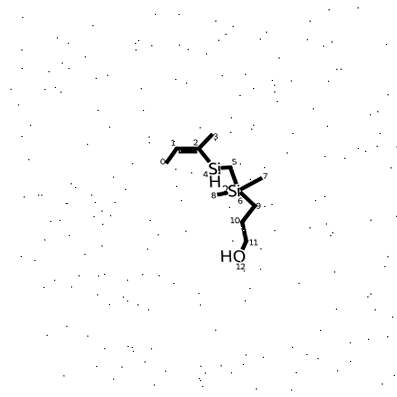 CC=C(C)[SiH2]C[Si](C)(C)CCCO